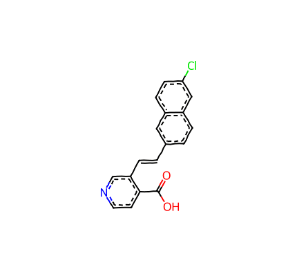 O=C(O)c1ccncc1C=Cc1ccc2cc(Cl)ccc2c1